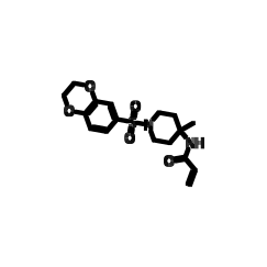 C=CC(=O)NC1(C)CCN(S(=O)(=O)c2ccc3c(c2)OCCO3)CC1